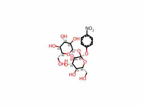 O=[N+]([O-])c1ccc(O[C@]2(O[C@@H]3O[C@H](CO)[C@@H](O)[C@H](O)[C@H]3O)O[C@H](CO)[C@@H](O)[C@H](O)[C@H]2O)cc1